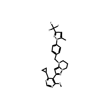 COc1ncnc(C2CC2)c1-c1cc2n(n1)CCCN2Cc1ccc(-n2nc(C(F)(F)F)cc2C)cc1